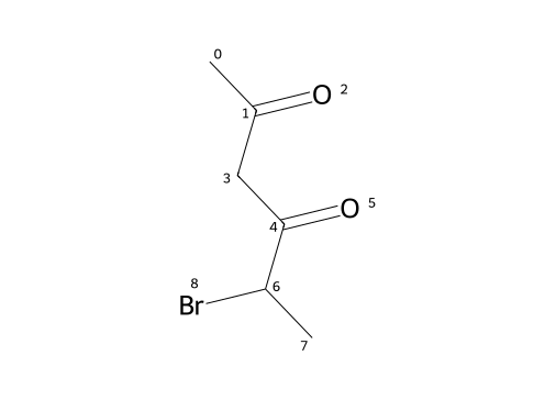 CC(=O)CC(=O)C(C)Br